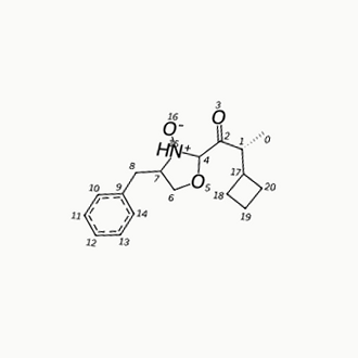 C[C@@H](C(=O)C1OCC(Cc2ccccc2)[NH+]1[O-])C1CCC1